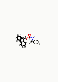 C[C@H](C(=O)O)N(C)C(=O)OCC1c2ccccc2C2=CC=CCC21